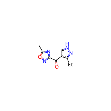 CCc1n[nH]cc1C(=O)c1noc(C)n1